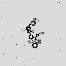 C[C@H]1CCCN(Cc2cc(C(F)(F)F)c3cn(C4CCCC([C@@H](C5NNC6(CCCCCC6)N5C)[C@H]5C[C@H](CO)C5)C4)c(=O)n3c2)C1